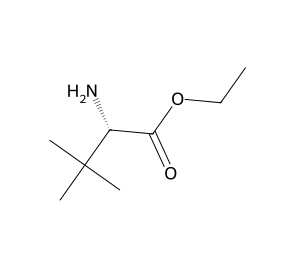 CCOC(=O)[C@@H](N)C(C)(C)C